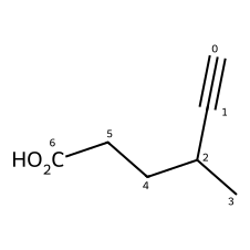 C#CC(C)CCC(=O)O